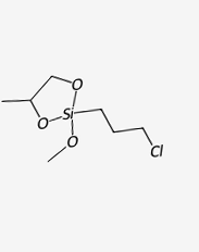 CO[Si]1(CCCCl)OCC(C)O1